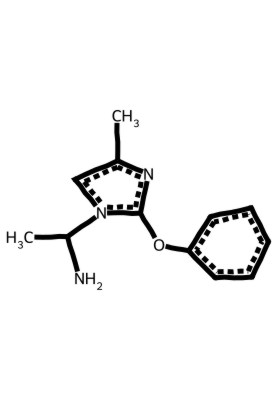 Cc1cn(C(C)N)c(Oc2ccccc2)n1